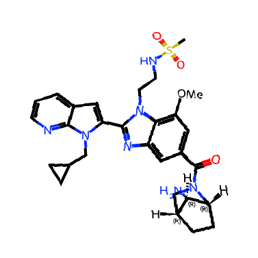 COc1cc(C(=O)N2C[C@H]3CC[C@@H]2[C@@H]3N)cc2nc(-c3cc4cccnc4n3CC3CC3)n(CCNS(C)(=O)=O)c12